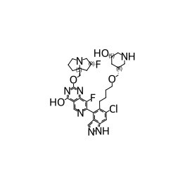 Oc1nc(OC[C@@]23CCCN2C[C@H](F)C3)nc2c(F)c(-c3c(CCCCOC[C@H]4CNC[C@@H](O)C4)c(Cl)cc4[nH]ncc34)ncc12